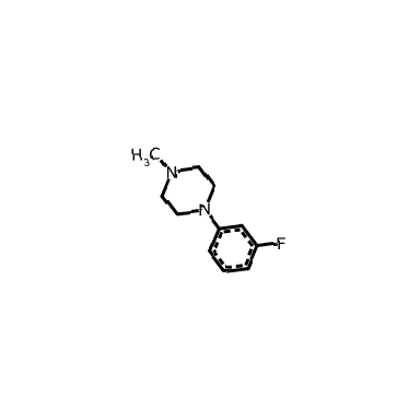 CN1CCN(c2cccc(F)c2)CC1